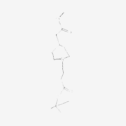 COC(=O)CC1CCN(CCC(=O)OC(C)(C)C)CC1